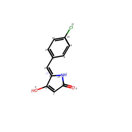 O=C1C=C(O)/C(=C/c2ccc(Cl)cc2)N1